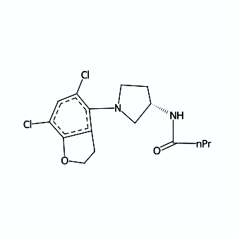 CCCC(=O)N[C@H]1CCN(c2c(Cl)cc(Cl)c3c2CCO3)C1